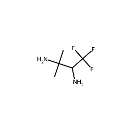 CC(C)(N)C(N)C(F)(F)F